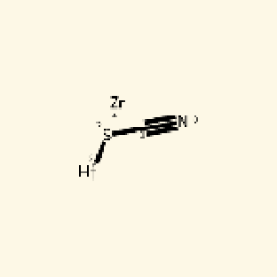 N#C[S][Hf].[Zr]